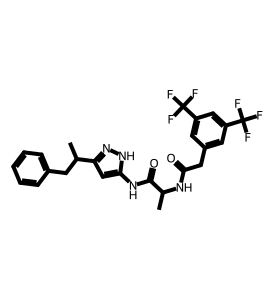 CC(NC(=O)Cc1cc(C(F)(F)F)cc(C(F)(F)F)c1)C(=O)Nc1cc(C(C)Cc2ccccc2)n[nH]1